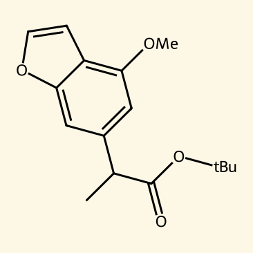 COc1cc(C(C)C(=O)OC(C)(C)C)cc2occc12